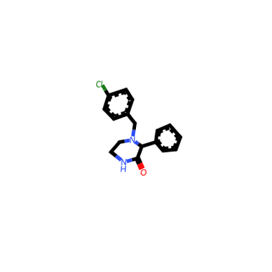 O=C1NCCN(Cc2ccc(Cl)cc2)C1c1ccccc1